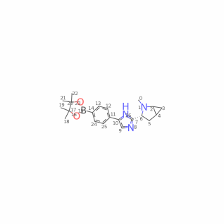 CN1C2CC2C[C@@H]1c1ncc(-c2ccc(B3OC(C)(C)C(C)(C)O3)cc2)[nH]1